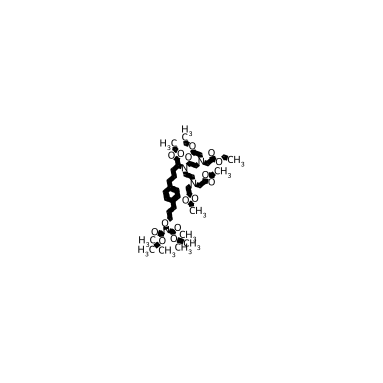 CCOC(=O)CN(CCN(CCN(CC1OC(C)O1)CC1OC(C)O1)C(CCCc1ccc(CCCON(C(=O)OC(C)(C)C)C(=O)OC(C)(C)C)cc1)C1OC(C)O1)CC(=O)OCC